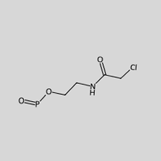 O=POCCNC(=O)CCl